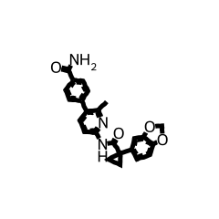 Cc1nc(NC(=O)C2(c3ccc4c(c3)OCO4)CC2)ccc1-c1ccc(C(N)=O)cc1